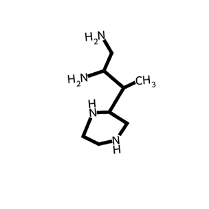 CC(C(N)CN)C1CNCCN1